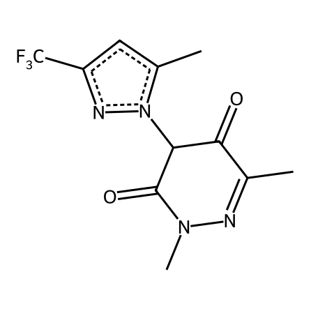 CC1=NN(C)C(=O)C(n2nc(C(F)(F)F)cc2C)C1=O